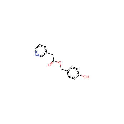 O=C(Cc1cccnc1)OCc1ccc(O)cc1